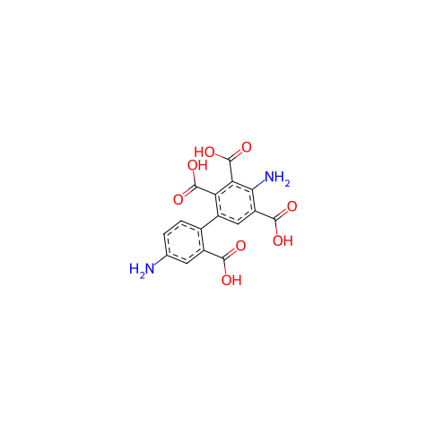 Nc1ccc(-c2cc(C(=O)O)c(N)c(C(=O)O)c2C(=O)O)c(C(=O)O)c1